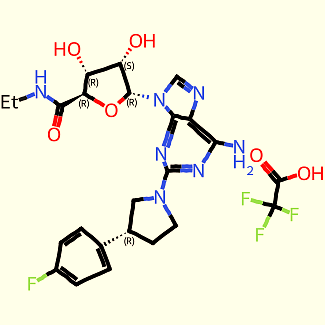 CCNC(=O)[C@@H]1O[C@@H](n2cnc3c(N)nc(N4CC[C@H](c5ccc(F)cc5)C4)nc32)[C@@H](O)[C@H]1O.O=C(O)C(F)(F)F